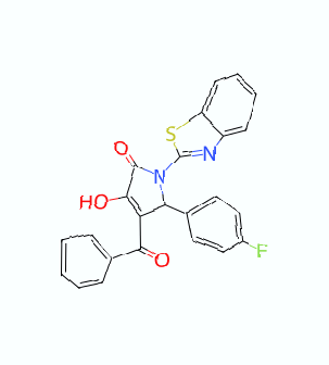 O=C(C1=C(O)C(=O)N(c2nc3ccccc3s2)C1c1ccc(F)cc1)c1ccccc1